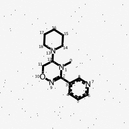 CN1C(c2cccnc2)=NOCC1N1CCCCC1